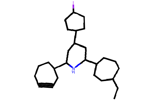 CCC1CCCC(C2CC(C3CCC(I)CC3)CC(C3CC#CCCC3)N2)CC1